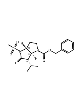 CC(C)[C@@H]1C(=O)N(S(C)(=O)=O)[C@@H]2CCN(C(=O)OCc3ccccc3)[C@H]21